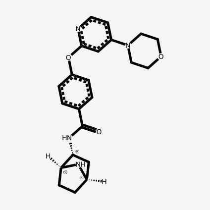 O=C(N[C@@H]1C[C@H]2CC[C@@H]1N2)c1ccc(Oc2cc(N3CCOCC3)ccn2)cc1